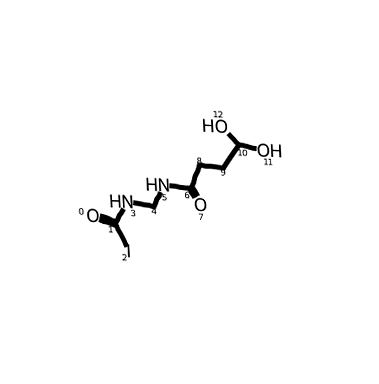 O=C(I)NCNC(=O)CCC(O)O